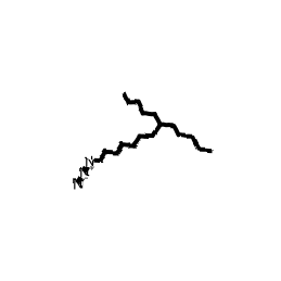 CCCCCC(CCCCC)CCCCCCCN=[N+]=[N-]